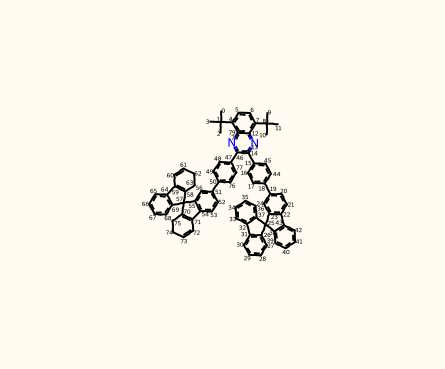 CC(C)(C)c1ccc(C(C)(C)C)c2nc(-c3ccc(-c4ccc5c(c4)C4(c6ccccc6-c6ccccc64)c4ccccc4-5)cc3)c(-c3ccc(-c4ccc5c(c4)C4(C6=C(C=CCC6)c6ccccc64)C4=C5C=CCC4)cc3)nc12